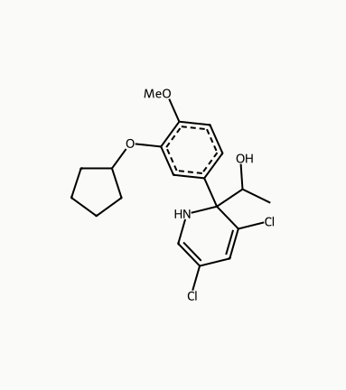 COc1ccc(C2(C(C)O)NC=C(Cl)C=C2Cl)cc1OC1CCCC1